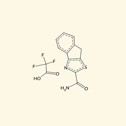 NC(=O)c1nc2c(s1)Cc1ccccc1-2.O=C(O)C(F)(F)F